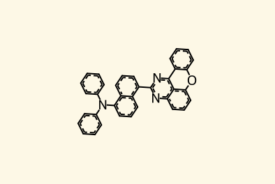 c1ccc(N(c2ccccc2)c2cccc3c(-c4nc5c6c(cccc6n4)Oc4ccccc4-5)cccc23)cc1